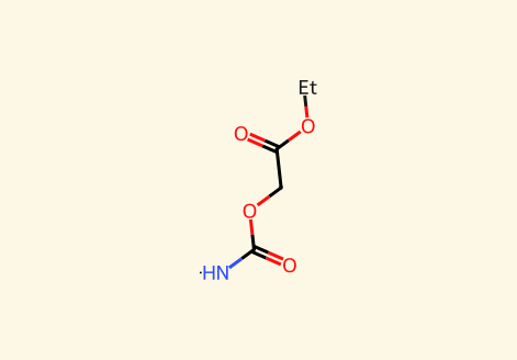 CCOC(=O)COC([NH])=O